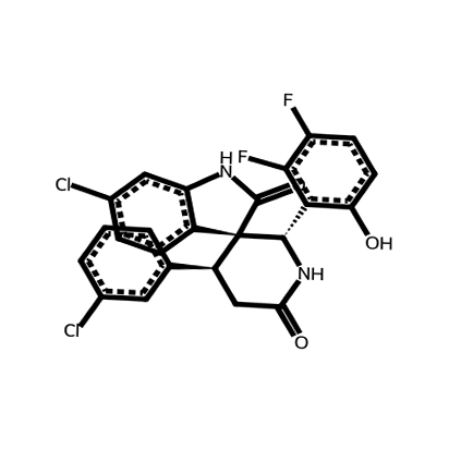 O=C1C[C@@H](c2cccc(Cl)c2)[C@]2(C(=O)Nc3cc(Cl)ccc32)[C@H](c2c(O)ccc(F)c2F)N1